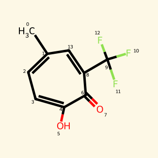 Cc1ccc(O)c(=O)c(C(F)(F)F)c1